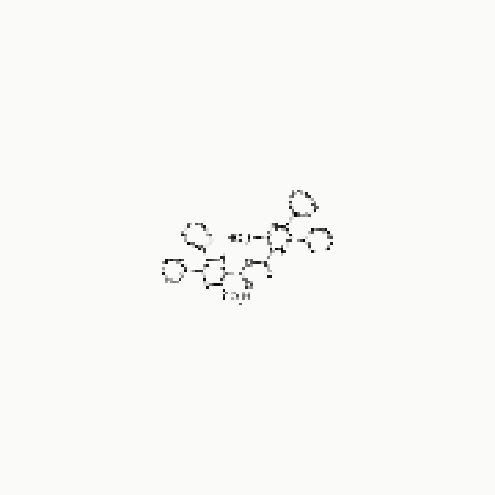 O=C(O)c1nc(-c2ccccc2)c(-c2ccccc2)nc1C(=O)OC(=O)c1nc(-c2ccccc2)c(-c2ccccc2)nc1C(=O)O